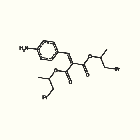 CC(C)CC(C)OC(=O)C(=Cc1ccc(N)cc1)C(=O)OC(C)CC(C)C